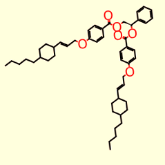 CCCCCC1CCC(/C=C/COc2ccc(C(=O)OC[C@H](OC(=O)c3ccc(OC/C=C/C4CCC(CCCCC)CC4)cc3)c3ccccc3)cc2)CC1